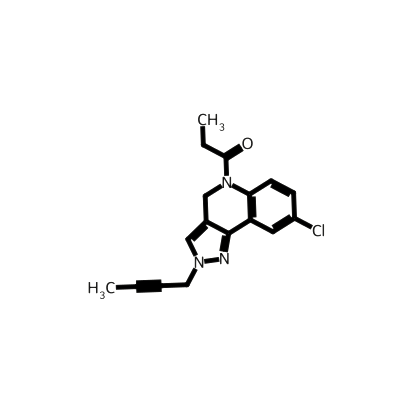 CC#CCn1cc2c(n1)-c1cc(Cl)ccc1N(C(=O)CC)C2